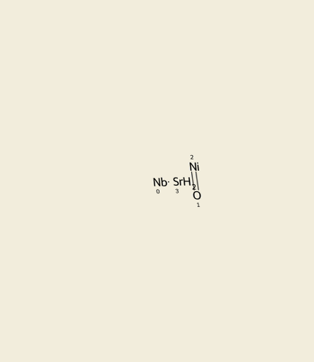 [Nb].[O]=[Ni].[SrH2]